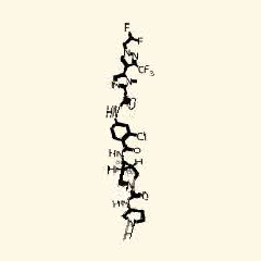 Cn1c(-c2cn(CC(F)F)nc2C(F)(F)F)cnc1C(=O)Nc1ccc(C(=O)N[C@H]2[C@@H]3CN(C(=O)N[C@H]4CCNC4)C[C@@H]32)c(Cl)c1